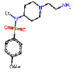 CCN(C1CCN(CCN)CC1)S(=O)(=O)c1ccc(OC)cc1